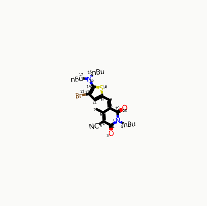 CCCCN1C(=O)C(C#N)=C(C)/C(=C\c2cc(Br)c(N(CCCC)CCCC)s2)C1=O